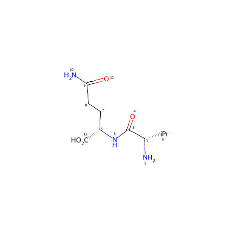 CC(C)[C@H](N)C(=O)N[C@@H](CCC(N)=O)C(=O)O